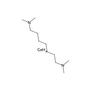 CN(C)CCC[CH]CCCN(C)C.[GeH4]